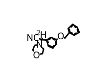 [2H]C(C#N)(c1cccc(OCc2ccccc2)c1)N1CCOCC1